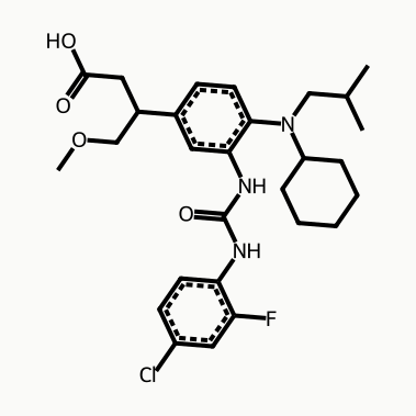 COCC(CC(=O)O)c1ccc(N(CC(C)C)C2CCCCC2)c(NC(=O)Nc2ccc(Cl)cc2F)c1